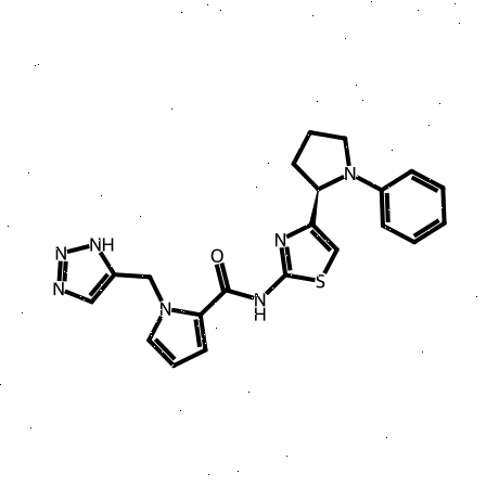 O=C(Nc1nc([C@H]2CCCN2c2ccccc2)cs1)c1cccn1Cc1cnn[nH]1